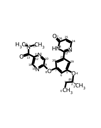 CC[C@@H](C)Oc1cc(Oc2cnc(C(=O)N(C)C)cn2)cc(-c2nccc(=O)[nH]2)c1